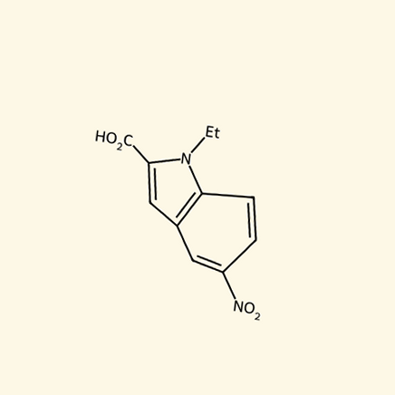 CCn1c(C(=O)O)cc2cc([N+](=O)[O-])ccc21